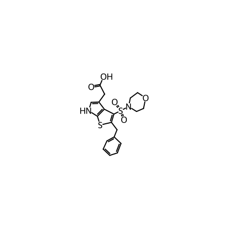 O=C(O)Cc1c[nH]c2sc(Cc3ccccc3)c(S(=O)(=O)N3CCOCC3)c12